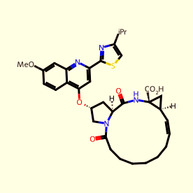 COc1ccc2c(O[C@@H]3C[C@H]4C(=O)N[C@]5(C(=O)O)C[C@H]5/C=C\CCCCCCC(=O)N4C3)cc(-c3nc(C(C)C)cs3)nc2c1